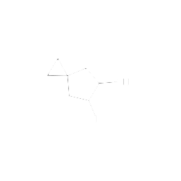 CC1CC2(CC2)CC1I